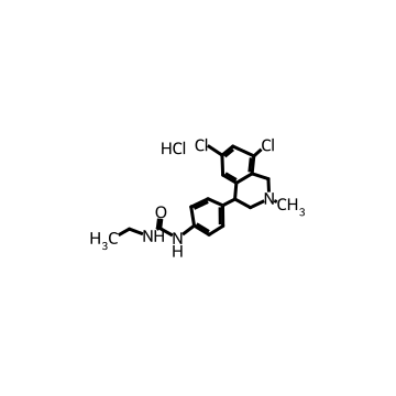 CCNC(=O)Nc1ccc(C2CN(C)Cc3c(Cl)cc(Cl)cc32)cc1.Cl